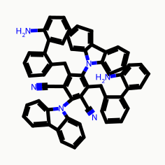 N#Cc1c(Cc2ccccc2-c2ccccc2N)c(-n2c3ccccc3c3ccccc32)c(Cc2ccccc2-c2ccccc2N)c(C#N)c1-n1c2ccccc2c2ccccc21